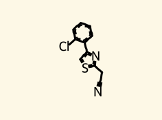 N#CCc1nc(-c2ccccc2Cl)cs1